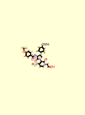 COc1cc(F)c([C@@H]2CN(c3c(C)ccn(CCO)c3=O)C(=O)[C@H]2NC(=O)c2ccc(OC(F)F)cc2)c(F)c1